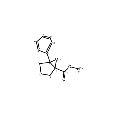 CCCOC(=O)C12CCCC1(c1ccccc1)O2